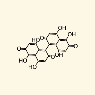 O=C1C=C(O)C2=C(C3=C4C(O)=CC(=O)C(O)=C4C(O)=CC3=O)C(=O)C=C(O)C2=C1O